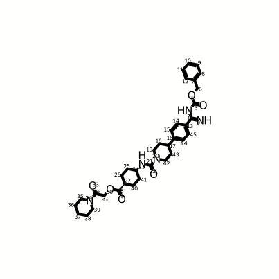 N=C(NC(=O)OCc1ccccc1)c1ccc(C2CCN(C(=O)N[C@H]3CC[C@H](C(=O)OCC(=O)N4CCCCC4)CC3)CC2)cc1